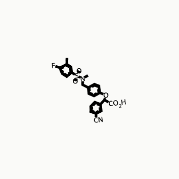 Cc1cc(S(=O)(=O)N(C)Cc2ccc(OC(C(=O)O)c3cccc(C#N)c3)cc2)ccc1F